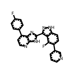 Fc1ccc(-c2ccnc3[nH]c(-c4n[nH]c5ccc(-c6cccnc6)c(F)c45)nc23)cc1